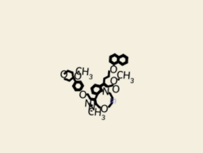 CCOC(=O)c1c(CCCOc2cccc3ccccc23)c2cccc3c2n1C/C=C\COCc1c-3c(COc2ccc(C3(OC)CCOCC3)cc2)nn1C